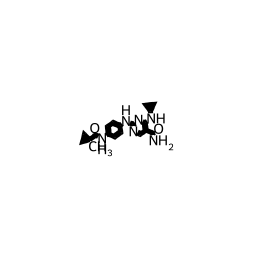 CC1(C(=O)Nc2ccc(Nc3ncc(C(N)=O)c(NC4CC4)n3)cc2)CC1